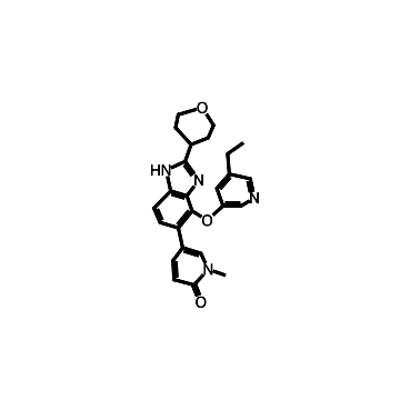 CCc1cncc(Oc2c(-c3ccc(=O)n(C)c3)ccc3[nH]c(C4CCOCC4)nc23)c1